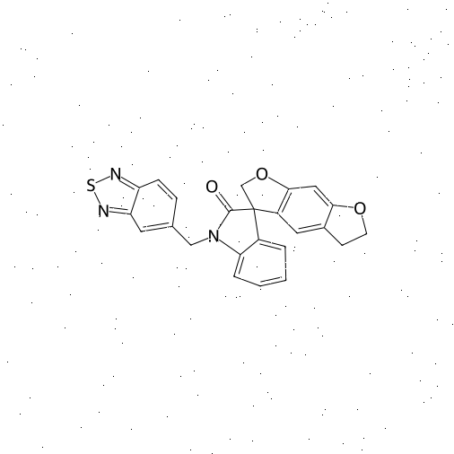 O=C1N(Cc2ccc3nsnc3c2)c2ccccc2C12COc1cc3c(cc12)CCO3